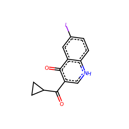 O=C(c1c[nH]c2ccc(I)cc2c1=O)C1CC1